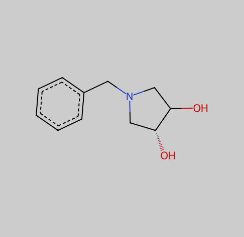 OC1CN(Cc2ccccc2)C[C@H]1O